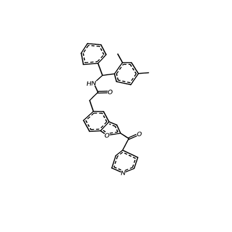 Cc1ccc(C(NC(=O)Cc2ccc3oc(C(=O)c4ccncc4)cc3c2)c2ccccc2)c(C)c1